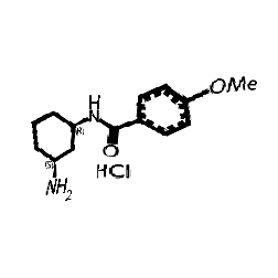 COc1ccc(C(=O)N[C@@H]2CCC[C@H](N)C2)cc1.Cl